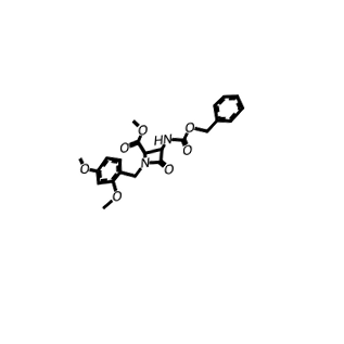 COC(=O)C1C(NC(=O)OCc2ccccc2)C(=O)N1Cc1ccc(OC)cc1OC